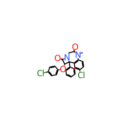 CN1C(=O)CN2C(=O)C(Oc3ccc(Cl)cc3)C2(c2ccccc2)c2cc(Cl)ccc21